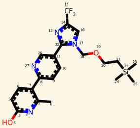 Cc1nc(O)ccc1-c1ccc(-c2nc(C(F)(F)F)cn2COCC[Si](C)(C)C)cn1